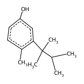 Cc1ccc(O)cc1C(C)(C)C(C)C